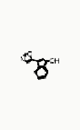 OC1C=C(c2cnco2)c2ccccc21